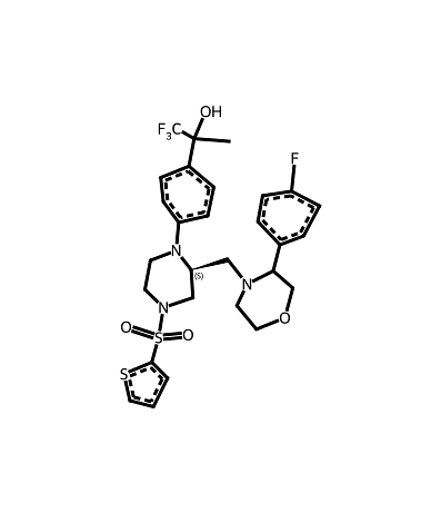 CC(O)(c1ccc(N2CCN(S(=O)(=O)c3cccs3)C[C@@H]2CN2CCOCC2c2ccc(F)cc2)cc1)C(F)(F)F